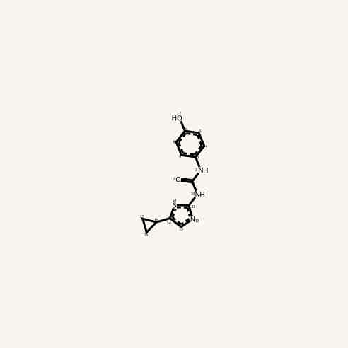 O=C(Nc1ccc(O)cc1)Nc1ncc(C2CC2)s1